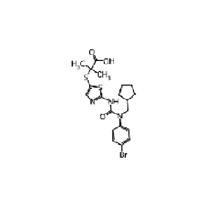 CC(C)(Sc1cnc(NC(=O)N(CC2CCCC2)c2ccc(Br)cc2)s1)C(=O)O